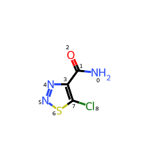 NC(=O)c1nnsc1Cl